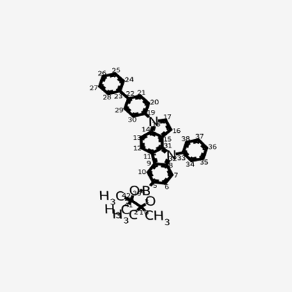 CC1(C)OB(c2ccc3c(c2)c2ccc4c(ccn4-c4ccc(-c5ccccc5)cc4)c2n3-c2ccccc2)OC1(C)C